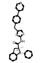 C[C@@]1(C(=O)Nc2nc(Cc3ccc(-c4ccncc4)cc3)cs2)Cc2ccccc2[C@H]1c1ccccc1